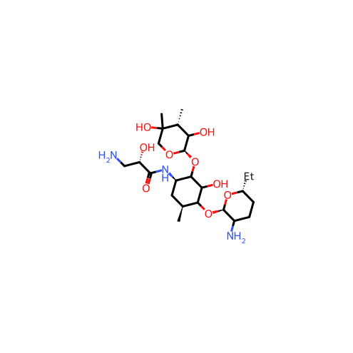 CC[C@@H]1CCC(N)[C@@H](OC2C(O)C(O[C@H]3OCC(C)(O)[C@H](C)C3O)[C@H](NC(=O)[C@@H](O)CN)C[C@@H]2C)O1